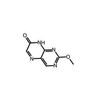 COc1ncc2ncc(=O)[nH]c2n1